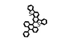 c1ccc(-c2c3ccccc3c(-c3cc4c(ccc5c6ccccc6sc54)c4c3sc3ccccc34)c3ccccc23)cc1